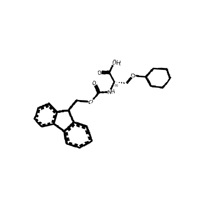 O=C(N[C@@H](COC1CCCCC1)C(=O)O)OCC1c2ccccc2-c2ccccc21